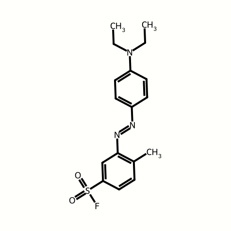 CCN(CC)c1ccc(N=Nc2cc(S(=O)(=O)F)ccc2C)cc1